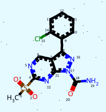 CS(=O)(=O)c1n[c]c2c(-c3ccccc3Cl)nn(C(N)=O)c2n1